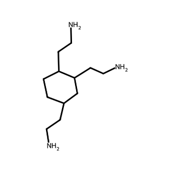 NCCC1CCC(CCN)C(CCN)C1